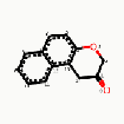 O=C1COc2ccc3ccccc3c2C1